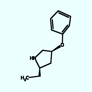 CC[C@@H]1C[C@H](Oc2ccccc2)CN1